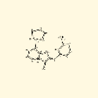 O=c1n(Cc2cccc(C(F)(F)F)c2)nc2c(-c3ccccc3)cccn12